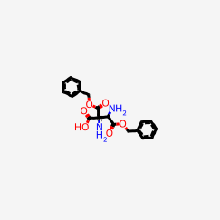 NC(C(=O)OCc1ccccc1)[C@](N)(C(=O)O)C(=O)OCc1ccccc1